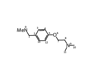 CNCc1ccc(OCCN(C)C)cc1